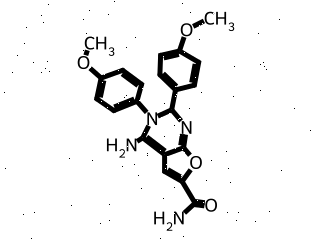 COc1ccc(C2N=c3oc(C(N)=O)cc3=C(N)N2c2ccc(OC)cc2)cc1